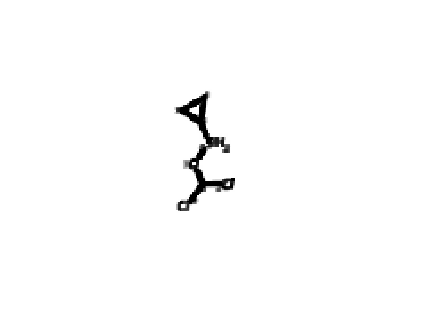 ClC(Cl)O[SiH2]C1CC1